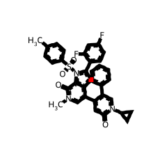 Cc1ccc(S(=O)(=O)n2c(-c3ccc(F)cc3F)cc3c(-c4cc(=O)n(C5CC5)cc4-c4ccccc4)cn(C)c(=O)c32)cc1